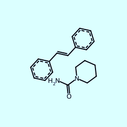 C(=Cc1ccccc1)c1ccccc1.NC(=O)N1CCCCC1